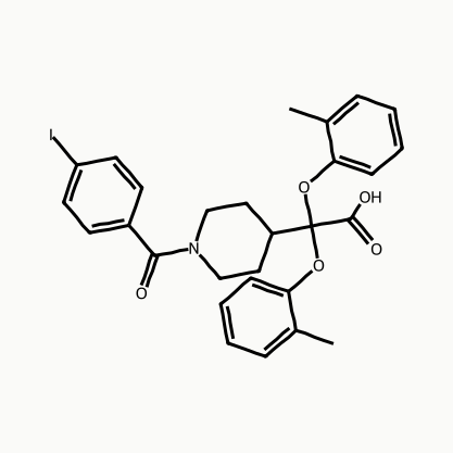 Cc1ccccc1OC(Oc1ccccc1C)(C(=O)O)C1CCN(C(=O)c2ccc(I)cc2)CC1